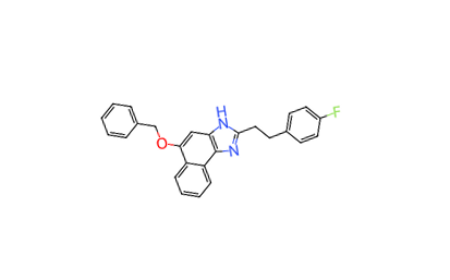 Fc1ccc(CCc2nc3c(cc(OCc4ccccc4)c4ccccc43)[nH]2)cc1